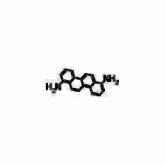 Nc1cccc2c1ccc1c3cccc(N)c3ccc21